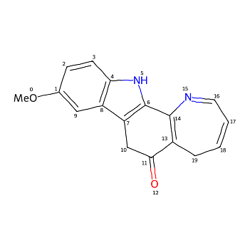 COc1ccc2[nH]c3c(c2c1)CC(=O)C1=C3N=CC=CC1